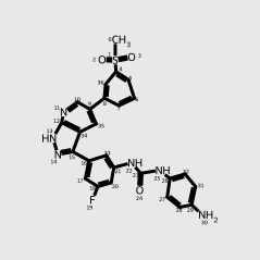 CS(=O)(=O)c1cccc(-c2cnc3[nH]nc(-c4cc(F)cc(NC(=O)Nc5ccc(N)cc5)c4)c3c2)c1